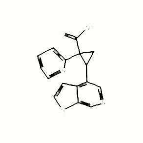 NC(=O)C1(c2ccccn2)CC1c1cncc2[nH]ccc12